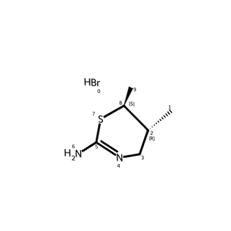 Br.C[C@@H]1CN=C(N)S[C@H]1C